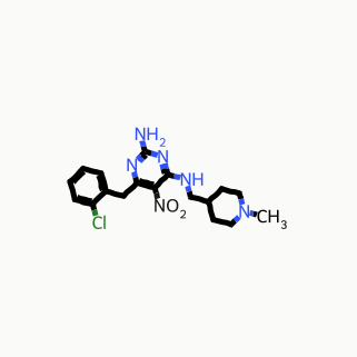 CN1CCC(CNc2nc(N)nc(Cc3ccccc3Cl)c2[N+](=O)[O-])CC1